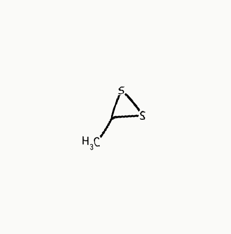 CC1SS1